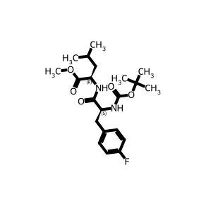 COC(=O)[C@@H](CC(C)C)NC(=O)[C@H](Cc1ccc(F)cc1)NC(=O)OC(C)(C)C